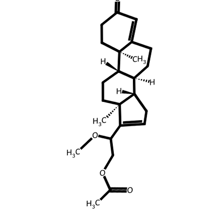 COC(COC(C)=O)C1=CC[C@H]2[C@@H]3CCC4=CC(=O)CC[C@]4(C)[C@H]3CC[C@]12C